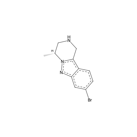 C[C@@H]1CNCc2c3ccc(Br)cc3nn21